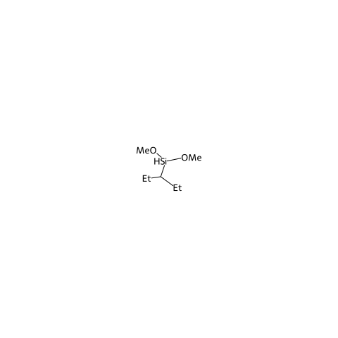 CCC(CC)[SiH](OC)OC